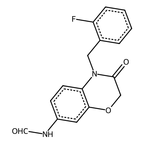 O=CNc1ccc2c(c1)OCC(=O)N2Cc1ccccc1F